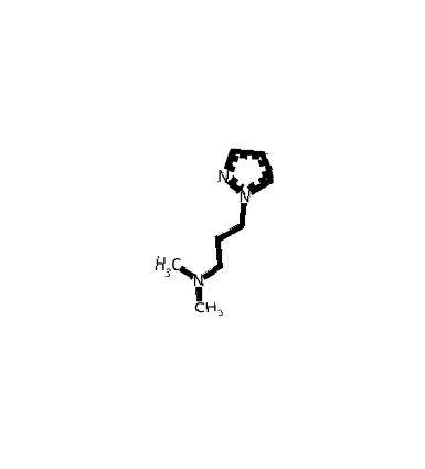 CN(C)CCCn1c[c]cn1